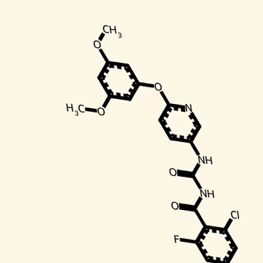 COc1cc(OC)cc(Oc2ccc(NC(=O)NC(=O)c3c(F)cccc3Cl)cn2)c1